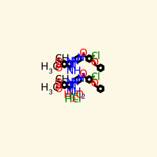 COc1cc2nc(N3CCN(C(=O)c4ccc(OCc5ccccc5)c(Cl)c4)CC3)nc(N)c2cc1OC.COc1cc2nc(N3CCN(C(=O)c4ccc(OCc5ccccc5)c(Cl)c4)CC3)nc(N)c2cc1OC.Cl.Cl.O